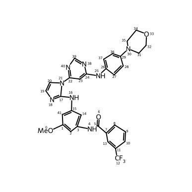 COc1cc(NC(=O)c2cccc(C(F)(F)F)c2)cc(Nc2nccn2-c2cc(Nc3ccc(N4CCOCC4)cc3)ncn2)c1